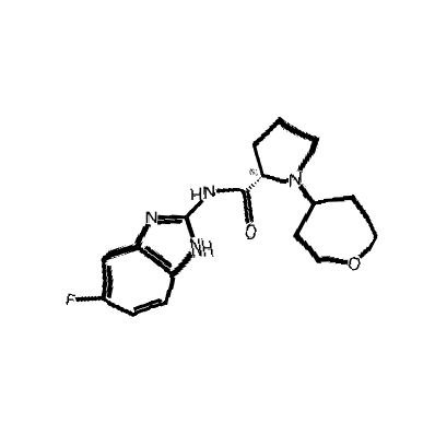 O=C(Nc1nc2cc(F)ccc2[nH]1)[C@@H]1CCCN1C1CCOCC1